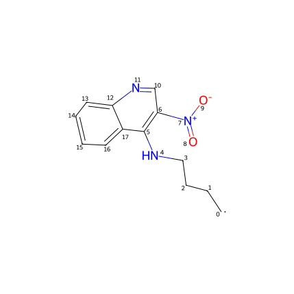 [CH2]CCCNc1c([N+](=O)[O-])cnc2ccccc12